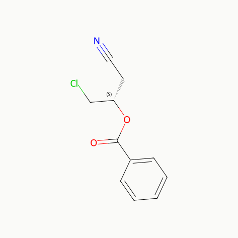 N#CC[C@@H](CCl)OC(=O)c1ccccc1